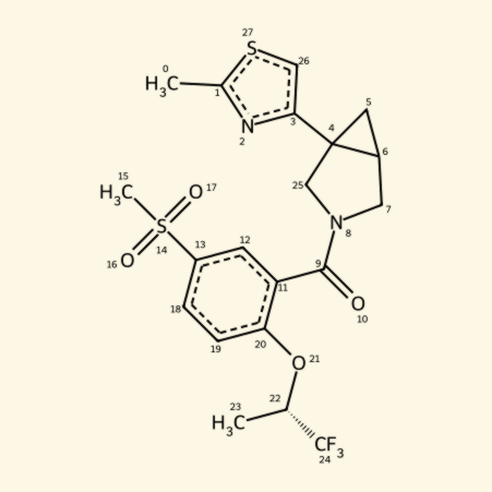 Cc1nc(C23CC2CN(C(=O)c2cc(S(C)(=O)=O)ccc2O[C@@H](C)C(F)(F)F)C3)cs1